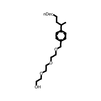 CCCCCCCCCCCCC(C)c1ccc(COCCOCCOCCO)cc1